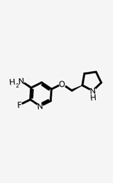 Nc1cc(OC[C@H]2CCCN2)cnc1F